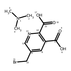 CN(C)C.O=C(O)c1cc(CBr)cnc1C(=O)O